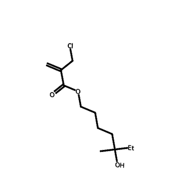 C=C(CCl)C(=O)OCCCCC(C)(O)CC